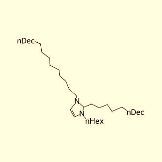 CCCCCCCCCCCCCCCCCCCN1C=CN(CCCCCC)C1CCCCCCCCCCCCCCC